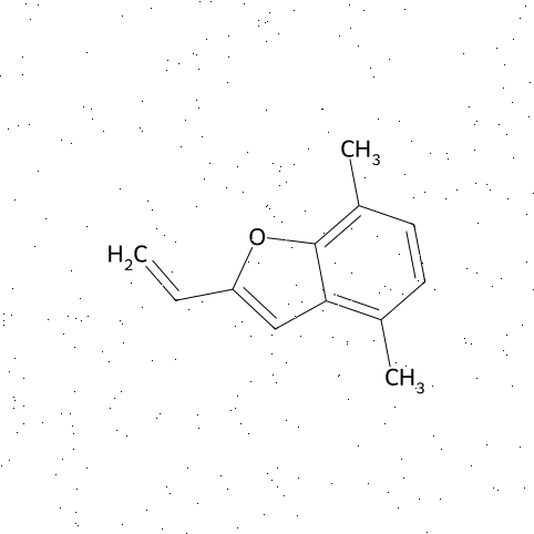 C=Cc1cc2c(C)ccc(C)c2o1